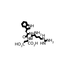 N=C(N)NCCC[C@H](N)C(=O)N[C@H](Cc1c[nH]c2ccccc12)C(=O)N[C@@H](CC(=O)O)C(=O)O